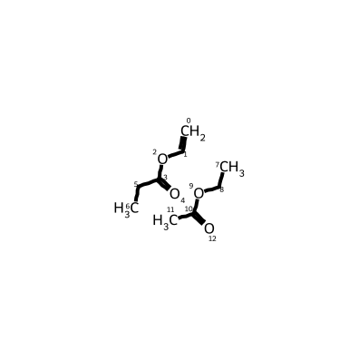 C=COC(=O)CC.CCOC(C)=O